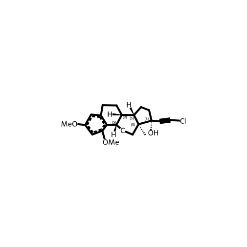 COc1cc2c(c(OC)c1)[C@H]1CC[C@@]3(C)[C@@H](CC[C@@]3(O)C#CCl)[C@H]1CC2